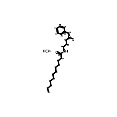 CCCCCCCCCCCC(=O)NCCCN(C)Cc1ccccc1.Cl